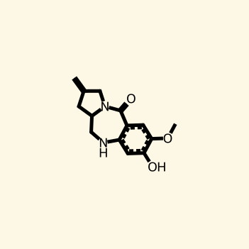 C=C1CC2CNc3cc(O)c(OC)cc3C(=O)N2C1